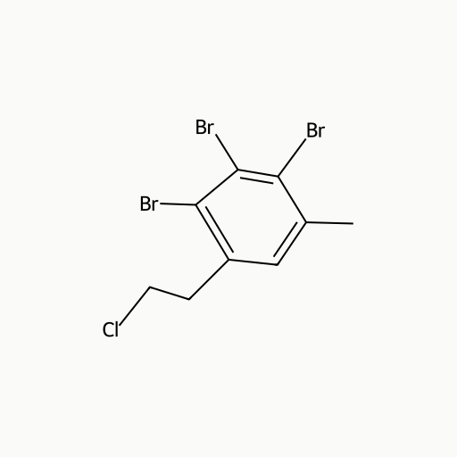 Cc1cc(CCCl)c(Br)c(Br)c1Br